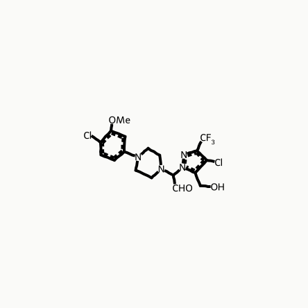 COc1cc(N2CCN(C(C=O)n3nc(C(F)(F)F)c(Cl)c3CO)CC2)ccc1Cl